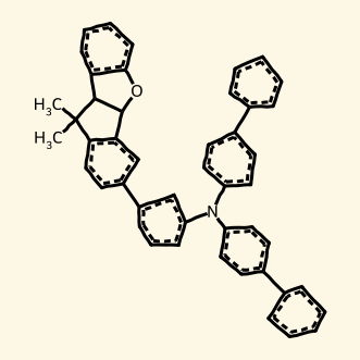 CC1(C)c2ccc(-c3cccc(N(c4ccc(-c5ccccc5)cc4)c4ccc(-c5ccccc5)cc4)c3)cc2C2Oc3ccccc3C21